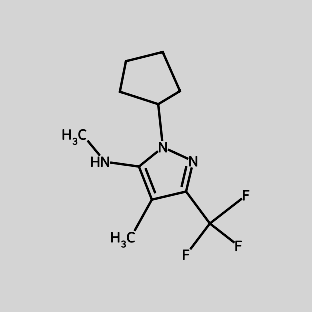 CNc1c(C)c(C(F)(F)F)nn1C1CCCC1